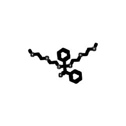 COCCOCCOC(OCCOCCOC)(C(=O)c1ccccc1)c1ccccc1